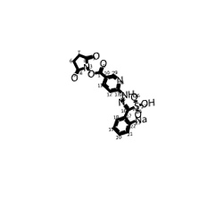 O=C(ON1C(=O)CCC1=O)c1ccc(NN=C(c2cccc[c]2[Na])S(=O)(=O)O)nc1